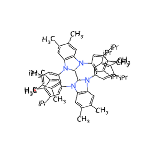 Cc1cc2c(cc1C)N(c1cc(C(C)C)c(C)c(C(C)C)c1)C(C1N(c3cc(C)c(C)c(C(C)C)c3)c3cc(C)c(C)cc3N1c1cc(C(C)C)c(C)c(C(C)C)c1)N2c1cc(C)c(C)c(C(C)C)c1